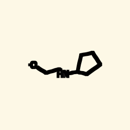 [O]CCNC1CCCC1